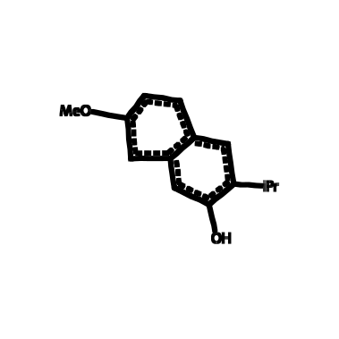 COc1ccc2cc(C(C)C)c(O)cc2c1